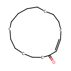 O=C1C=CCCCCCCCCCCCCCC1